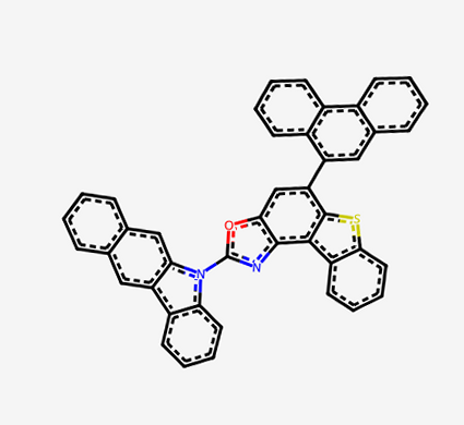 c1ccc2cc3c(cc2c1)c1ccccc1n3-c1nc2c(cc(-c3cc4ccccc4c4ccccc34)c3sc4ccccc4c32)o1